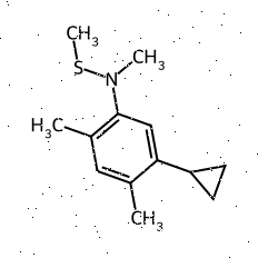 CSN(C)c1cc(C2CC2)c(C)cc1C